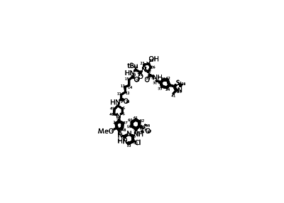 COc1cc(N2CCC(NC(=O)CCCCCC(=O)N[C@H](C(=O)N3C[C@H](O)C[C@H]3C(=O)NCc3ccc(-c4scnc4C)cc3)C(C)(C)C)CC2)ccc1Nc1ncc(Cl)c(Nc2ccccc2P(C)(C)=O)n1